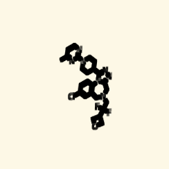 Cc1ccnc(N2CCC(c3nnc4n3-c3ccc(Cl)cc3CN(CC(F)(F)C3COC3)C4)CC2)n1